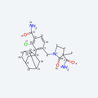 CC1(C(N)=O)CCN(Cc2ccc(C(N)=O)c(Cl)c2C23CC4CC(CC(C4)C2)C3)C1=O